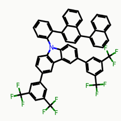 FC(F)(F)c1cc(-c2ccc3c(c2)c2cc(-c4cc(C(F)(F)F)cc(C(F)(F)F)c4)ccc2n3-c2ccccc2-c2ccc(-c3cccc4ccccc34)c3ccccc23)cc(C(F)(F)F)c1